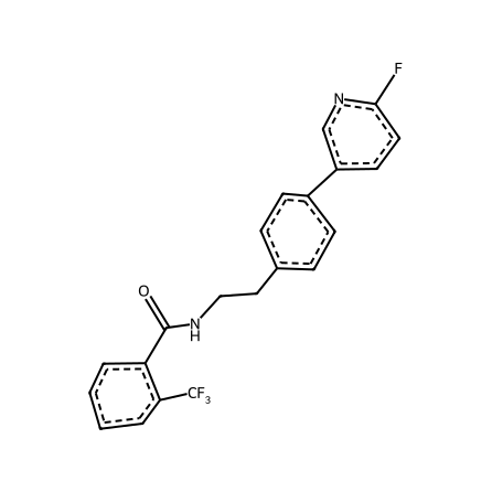 O=C(NCCc1ccc(-c2ccc(F)nc2)cc1)c1ccccc1C(F)(F)F